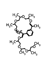 COCC(C)OCC(C)OCC(C)OC=C(C)c1cccc(C(C)=COC(C)COC(C)COC(C)COC)c1